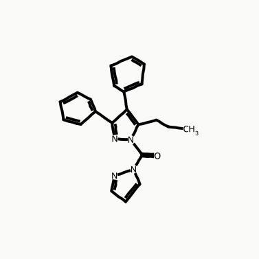 CCCc1c(-c2ccccc2)c(-c2ccccc2)nn1C(=O)n1cccn1